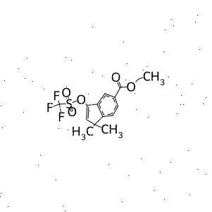 CCOC(=O)c1ccc2c(c1)C(OS(=O)(=O)C(F)(F)F)=CC2(C)C